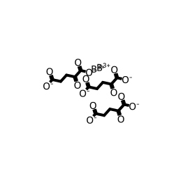 O=C([O-])CCC(=O)C(=O)[O-].O=C([O-])CCC(=O)C(=O)[O-].O=C([O-])CCC(=O)C(=O)[O-].[B+3].[B+3]